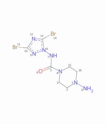 NN1CCN(C(=O)Nn2nc(Br)nc2Br)CC1